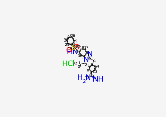 CCCn1c(Cc2ccc(C(=N)N)cc2)nc2ccc(NS(=O)(=O)c3ccccc3)cc21.Cl